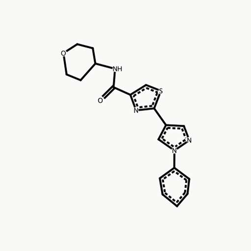 O=C(NC1CCOCC1)c1csc(-c2cnn(-c3ccccc3)c2)n1